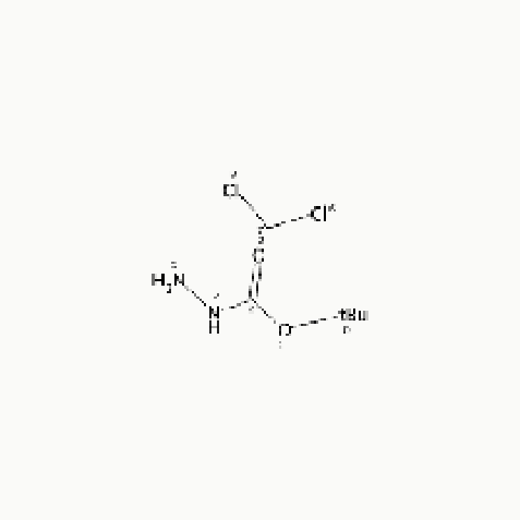 CC(C)(C)OC(=O)NN.ClCCl